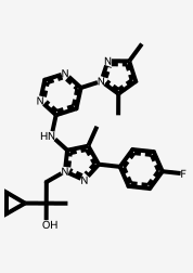 Cc1cc(C)n(-c2cc(Nc3c(C)c(-c4ccc(F)cc4)nn3CC(C)(O)C3CC3)ncn2)n1